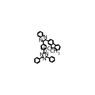 CC1(C)c2ccccc2-c2ccc(-c3nc4ccccc4nc3-c3ccc(-c4nc(-c5ccccc5)nc(-c5ccccc5)n4)cc3)cc21